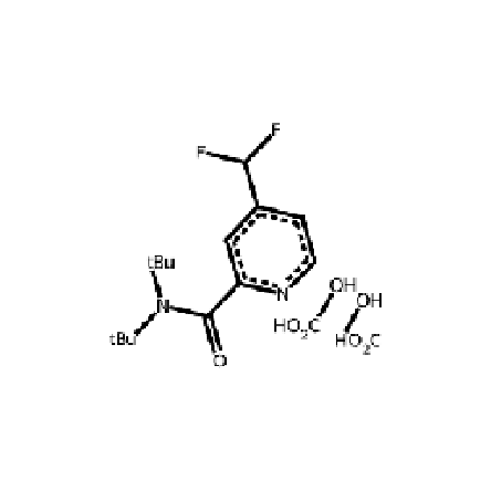 CC(C)(C)N(C(=O)c1cc(C(F)F)ccn1)C(C)(C)C.O=C(O)O.O=C(O)O